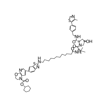 Cc1ncsc1-c1ccc(CNC(=O)[C@@H]2C[C@@H](O)CN2C(=O)[C@@H](NC(=O)CCCCCCCCCCCNc2nc3ccc(-c4cnc5c(c4)N(C(=O)OC4CCCCC4)CCO5)cc3s2)C(C)(C)C)cc1